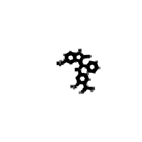 Cc1cc(NC(=C2C(=O)Nc3ccc(N)cc32)c2ccccc2)ccc1C(=O)O